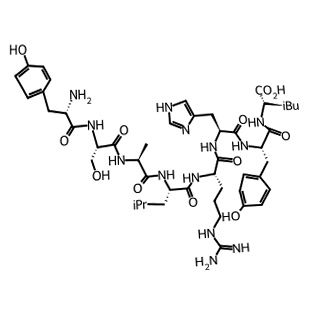 CC[C@H](C)[C@H](NC(=O)[C@H](Cc1ccc(O)cc1)NC(=O)[C@H](Cc1c[nH]cn1)NC(=O)[C@H](CCCNC(=N)N)NC(=O)[C@H](CC(C)C)NC(=O)[C@H](C)NC(=O)[C@H](CO)NC(=O)[C@@H](N)Cc1ccc(O)cc1)C(=O)O